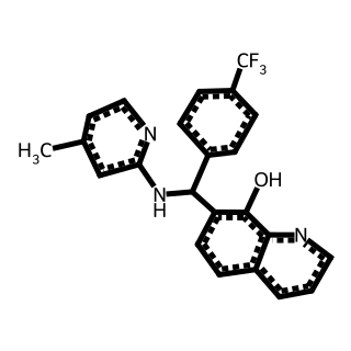 Cc1ccnc(NC(c2ccc(C(F)(F)F)cc2)c2ccc3cccnc3c2O)c1